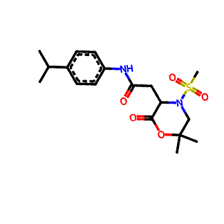 CC(C)c1ccc(NC(=O)CC2C(=O)OC(C)(C)CN2S(C)(=O)=O)cc1